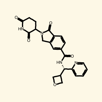 O=C1CCC(N2Cc3cc(C(=O)N[C@H](c4ccccn4)C4COC4)ccc3C2=O)C(=O)N1